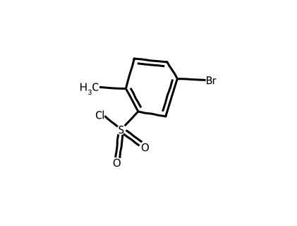 Cc1ccc(Br)cc1S(=O)(=O)Cl